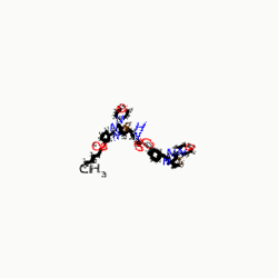 CCCCCC(=O)Oc1cccc(-c2nc(N3CCOCC3)c3sc(CCNC(=O)Oc4cccc(-c5nc(N6CCOCC6)c6sccc6n5)c4)cc3n2)c1